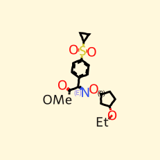 CCOC1CC[C@@H](O/N=C(/C(=O)OC)c2ccc(S(=O)(=O)C3CC3)cc2)C1